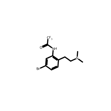 CN(C)CCc1ccc(Br)cc1NC(=O)C(F)(F)F